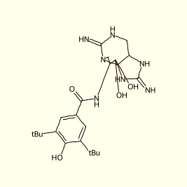 CC(C)(C)c1cc(C(=O)NC2CN3C(=N)NCC4NC(=N)NC43C2(O)O)cc(C(C)(C)C)c1O